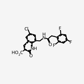 O=C(Cc1c(F)cc(F)cc1F)NCc1cc(Cl)cc2cc(C(=O)O)c(=O)[nH]c12